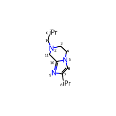 CC(C)CN1CCn2cc(C(C)C)nc2C1